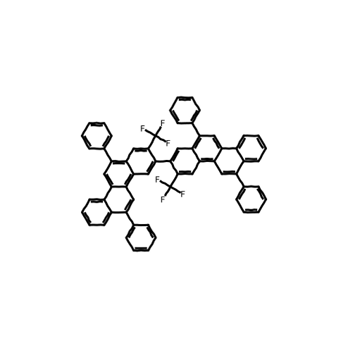 FC(F)(F)c1cc2c(-c3ccccc3)cc3c4ccccc4c(-c4ccccc4)cc3c2cc1-c1cc2c(-c3ccccc3)cc3c4ccccc4c(-c4ccccc4)cc3c2cc1C(F)(F)F